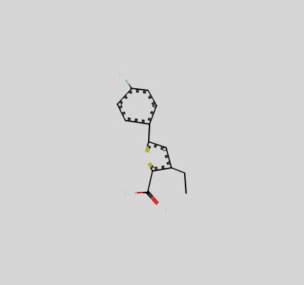 CCc1cc(-c2ccc(F)cc2)sc1C(=O)O